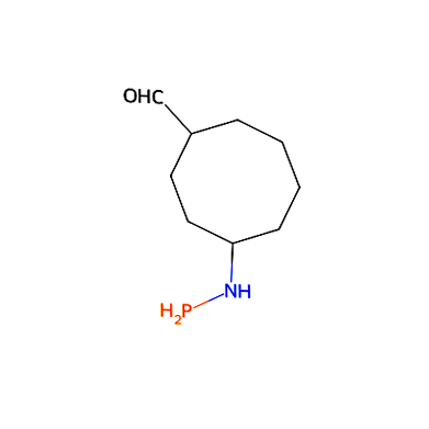 O=CC1CCCCC(NP)CC1